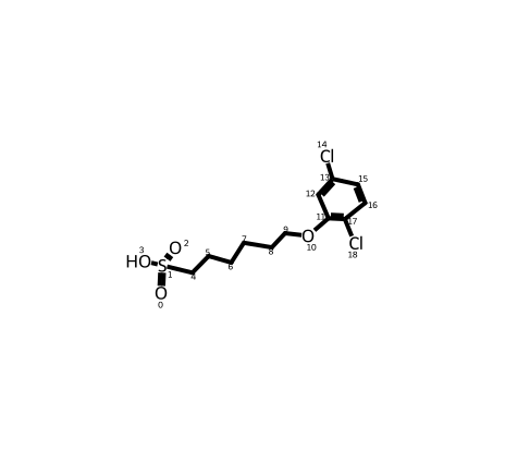 O=S(=O)(O)CCCCCCOc1cc(Cl)ccc1Cl